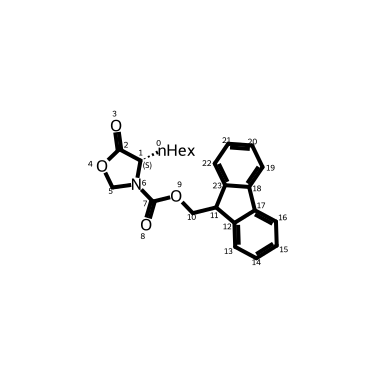 CCCCCC[C@H]1C(=O)OCN1C(=O)OCC1c2ccccc2-c2ccccc21